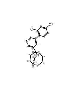 Clc1ccc(-c2cncc(N3CCN4CCCC3CCC4)c2)c(Cl)c1